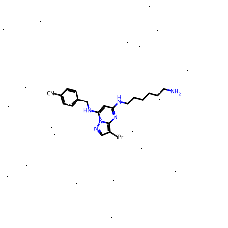 [C-]#[N+]c1ccc(CNc2cc(NCCCCCCN)nc3c(C(C)C)cnn23)cc1